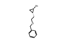 CC(=O)[C@@H]1C[C@H]1CCOCc1ccccc1